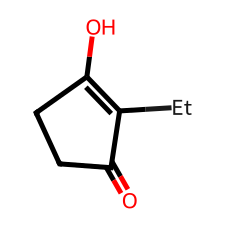 CCC1=C(O)CCC1=O